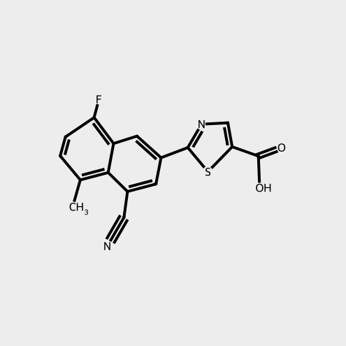 Cc1ccc(F)c2cc(-c3ncc(C(=O)O)s3)cc(C#N)c12